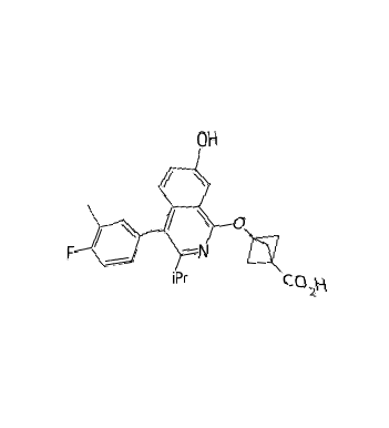 Cc1cc(-c2c(C(C)C)nc(OC34CC(C(=O)O)(C3)C4)c3cc(O)ccc23)ccc1F